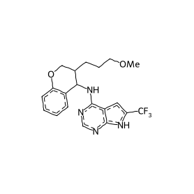 COCCCC1COc2ccccc2C1Nc1ncnc2[nH]c(C(F)(F)F)cc12